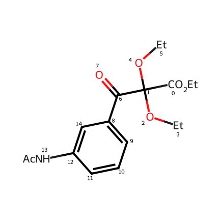 CCOC(=O)C(OCC)(OCC)C(=O)c1cccc(NC(C)=O)c1